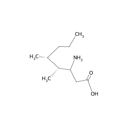 CCC[C@@H](C)[C@@H](C)C(N)CC(=O)O